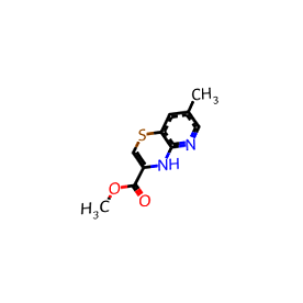 COC(=O)C1=CSc2cc(C)cnc2N1